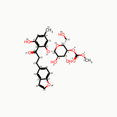 COC(=O)O[C@H]1[C@H](O)[C@@H](O)[C@H](Oc2cc(C)cc(O)c2C(=O)CCc2ccc3occc3c2)O[C@@H]1CO